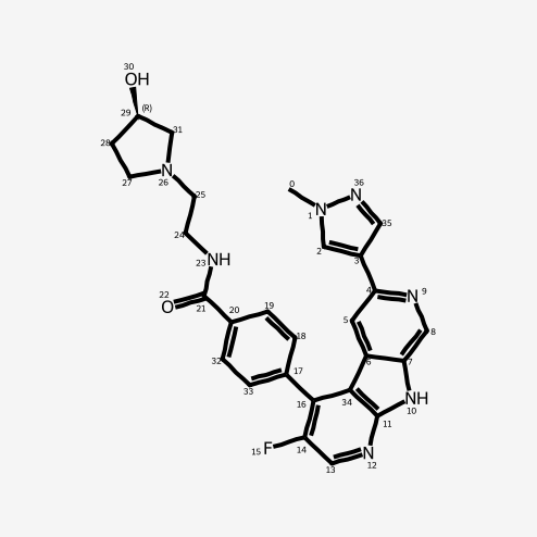 Cn1cc(-c2cc3c(cn2)[nH]c2ncc(F)c(-c4ccc(C(=O)NCCN5CC[C@@H](O)C5)cc4)c23)cn1